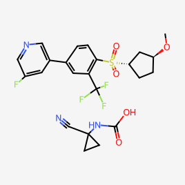 CO[C@H]1CC[C@H](S(=O)(=O)c2ccc(-c3cncc(F)c3)cc2C(F)(F)F)C1.N#CC1(NC(=O)O)CC1